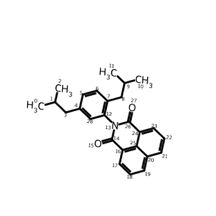 CC(C)Cc1ccc(CC(C)C)c(N2C(=O)c3cccc4cccc(c34)C2=O)c1